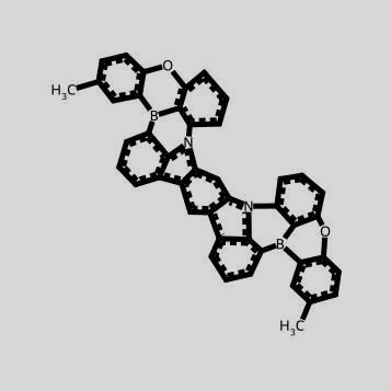 Cc1ccc2c(c1)B1c3c(cccc3-n3c4cc5c(cc4c4cccc1c43)c1cccc3c1n5-c1cccc4c1B3c1cc(C)ccc1O4)O2